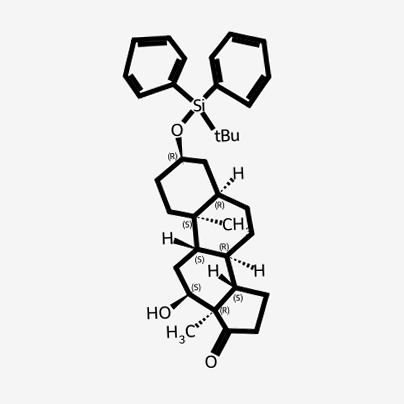 CC(C)(C)[Si](O[C@@H]1CC[C@@]2(C)[C@H](CC[C@@H]3[C@@H]2C[C@H](O)[C@]2(C)C(=O)CC[C@@H]32)C1)(c1ccccc1)c1ccccc1